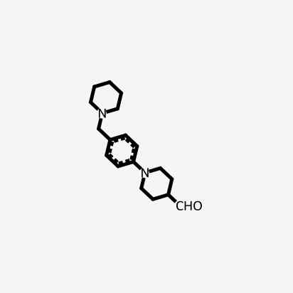 O=CC1CCN(c2ccc(CN3CCCCC3)cc2)CC1